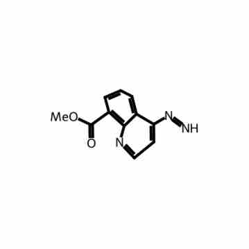 COC(=O)c1cccc2c(N=N)ccnc12